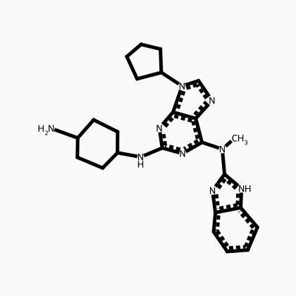 CN(c1nc2ccccc2[nH]1)c1nc(NC2CCC(N)CC2)nc2c1ncn2C1CCCC1